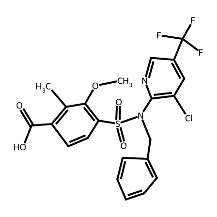 COc1c(S(=O)(=O)N(Cc2ccccc2)c2ncc(C(F)(F)F)cc2Cl)ccc(C(=O)O)c1C